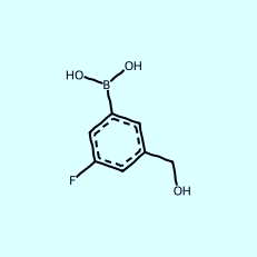 OCc1cc(F)cc(B(O)O)c1